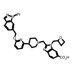 CC(C)n1ncc2ccc(COc3cccc(C4CCN(Cc5nc6ccc(C(=O)O)cc6n5CC5CCO5)CC4)n3)cc21